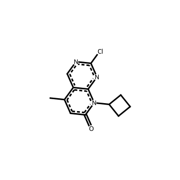 Cc1cc(=O)n(C2CCC2)c2nc(Cl)ncc12